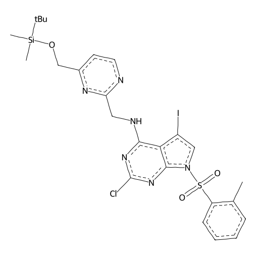 Cc1ccccc1S(=O)(=O)n1cc(I)c2c(NCc3nccc(CO[Si](C)(C)C(C)(C)C)n3)nc(Cl)nc21